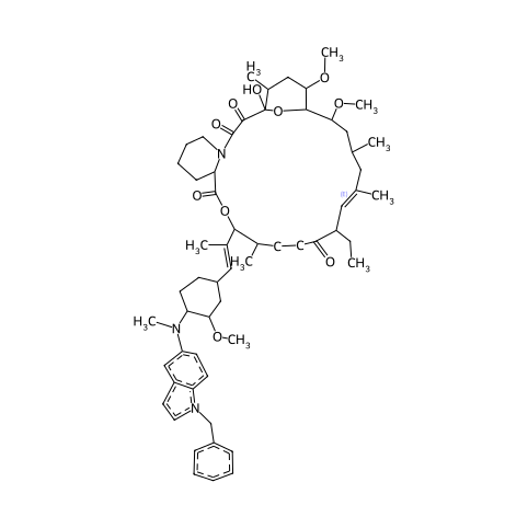 CCC1/C=C(\C)CC(C)CC(OC)C2OC(O)(C(=O)C(=O)N3CCCCC3C(=O)OC(C(C)=CC3CCC(N(C)c4ccc5c(ccn5Cc5ccccc5)c4)C(OC)C3)C(C)CCC1=O)C(C)CC2OC